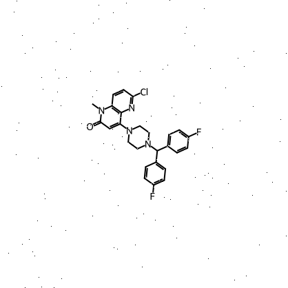 Cn1c(=O)cc(N2CCN(C(c3ccc(F)cc3)c3ccc(F)cc3)CC2)c2nc(Cl)ccc21